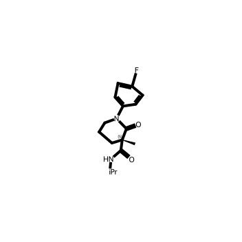 CC(C)NC(=O)[C@]1(C)CCCN(c2ccc(F)cc2)C1=O